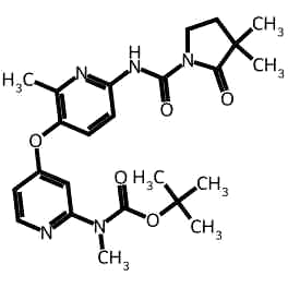 Cc1nc(NC(=O)N2CCC(C)(C)C2=O)ccc1Oc1ccnc(N(C)C(=O)OC(C)(C)C)c1